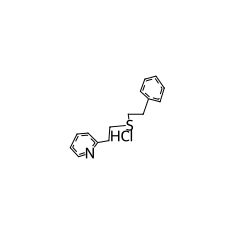 Cl.c1ccc(CCSCCc2ccccn2)cc1